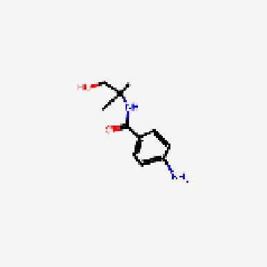 CC(C)(CO)NC(=O)c1ccc(N)cc1